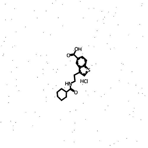 Cl.O=C(O)c1ccc2scc(CCNC(=O)C3CCCCC3)c2c1